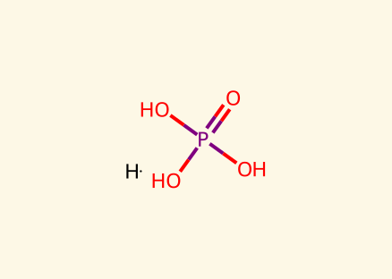 O=P(O)(O)O.[H]